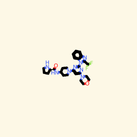 O=C(NC1CCN(c2cc(N3CCOCC3)nc(-n3c(C(F)F)nc4ccccc43)n2)CC1)[C@H]1CCCN1